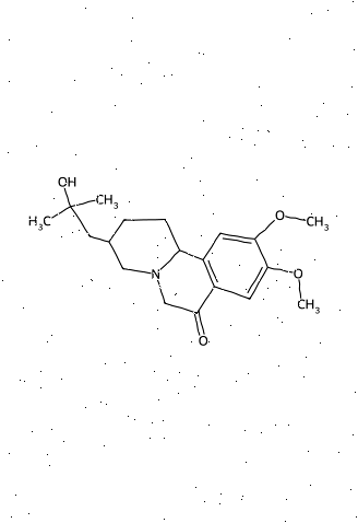 COc1cc2c(cc1OC)C1CCC(CC(C)(C)O)CN1CC2=O